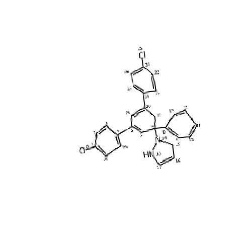 Clc1ccc(C2=CC(c3ccccc3)(N3CC=CN3)CC(c3ccc(Cl)cc3)=C2)cc1